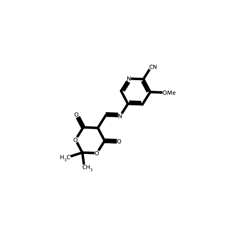 COc1cc(N=CC2C(=O)OC(C)(C)OC2=O)cnc1C#N